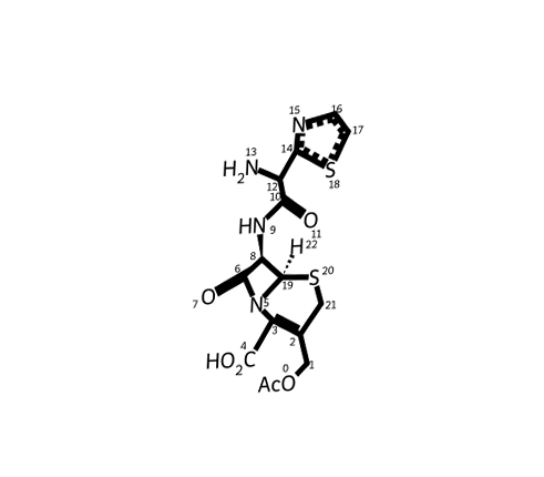 CC(=O)OCC1=C(C(=O)O)N2C(=O)[C@@H](NC(=O)C(N)c3nccs3)[C@H]2SC1